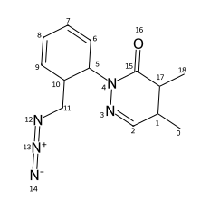 CC1C=NN(C2C=CC=CC2CN=[N+]=[N-])C(=O)C1C